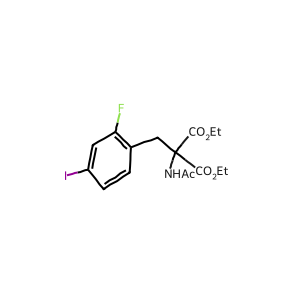 CCOC(=O)C(Cc1ccc(I)cc1F)(NC(C)=O)C(=O)OCC